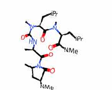 CNC(=O)[C@H](CC(C)C)N(C)C(=O)[C@H](CC(C)C)N(C)C(=O)N[C@H](C)C(=O)N1C(=O)[C@@H](NC)CC1C